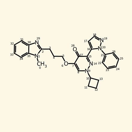 Cn1c(CCCOc2cn(C3CCC3)nc(-c3ccnn3-c3ccccc3)c2=O)nc2ccccc21